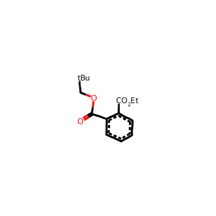 CCOC(=O)c1ccccc1C(=O)OCC(C)(C)C